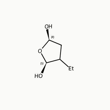 CCC1C[C@H](O)O[C@@H]1O